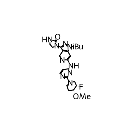 CCC(C)n1nc(N2CCNC2=O)c2cnc(Nc3ccnc(N4CC[C@@H](OC)[C@@H](F)C4)n3)cc21